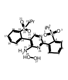 CC(C)S(=O)(=O)c1ccccc1-c1ncc(-c2ccccc2S(=O)(=O)C(C)C)c(N)n1.OO